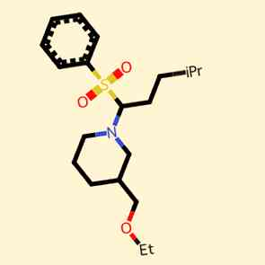 CCOCC1CCCN(C(CCC(C)C)S(=O)(=O)c2ccccc2)C1